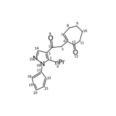 CCCc1c(C(=O)CC2=CCCCCC2=O)cnn1-c1ccccc1